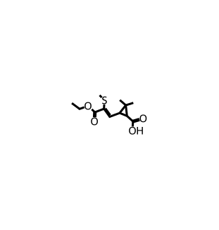 CCOC(=O)C(=CC1C(C(=O)O)C1(C)C)SC